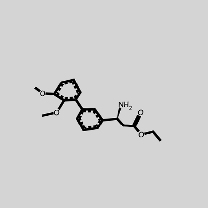 CCOC(=O)C[C@H](N)c1cccc(-c2cccc(OC)c2OC)c1